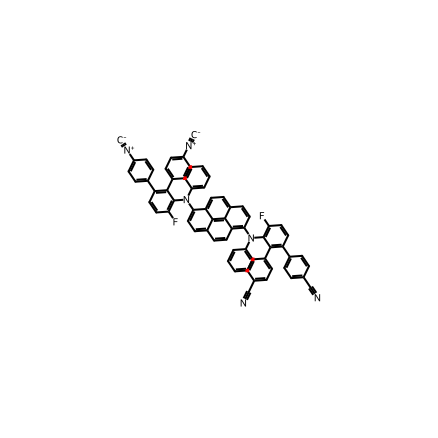 [C-]#[N+]c1ccc(-c2ccc(F)c(N(c3ccccc3)c3ccc4ccc5c(N(c6ccccc6)c6c(F)ccc(-c7ccc(C#N)cc7)c6-c6ccc(C#N)cc6)ccc6ccc3c4c65)c2-c2ccc([N+]#[C-])cc2)cc1